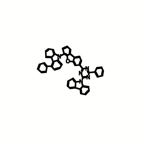 c1ccc(-c2nc(-c3ccc4c(c3)oc3c(-n5c6ccccc6c6c(-c7ccccc7)cccc65)cccc34)nc(-n3c4ccccc4c4ccccc43)n2)cc1